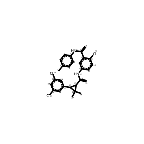 C=C(Nc1ccc(C)cc1)c1cc(NC(=C)C2C(c3cc(Cl)cc(Cl)c3)C2(C)C)ccc1Cl